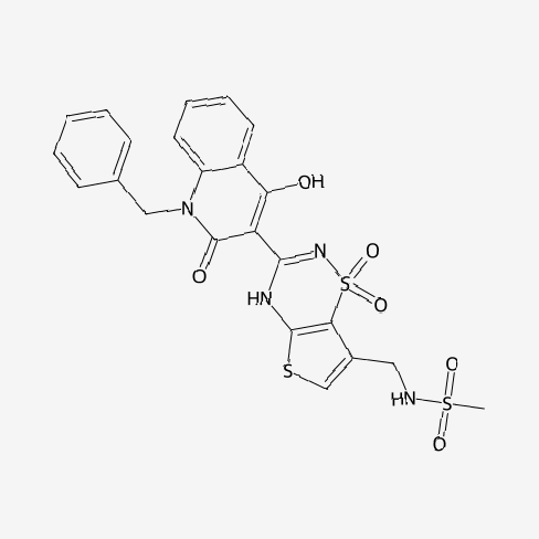 CS(=O)(=O)NCc1csc2c1S(=O)(=O)N=C(c1c(O)c3ccccc3n(Cc3ccccc3)c1=O)N2